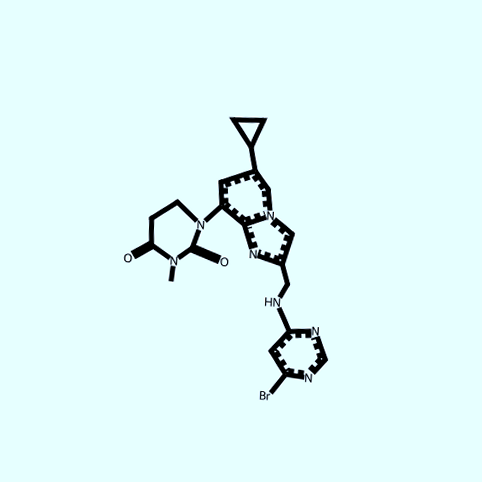 CN1C(=O)CCN(c2cc(C3CC3)cn3cc(CNc4cc(Br)ncn4)nc23)C1=O